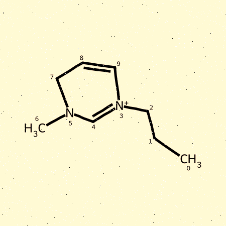 CCC[N+]1=CN(C)CC=C1